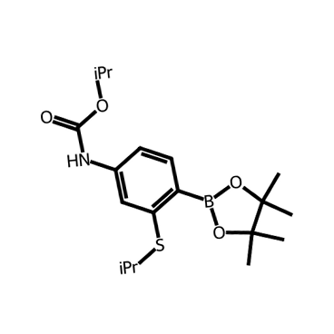 CC(C)OC(=O)Nc1ccc(B2OC(C)(C)C(C)(C)O2)c(SC(C)C)c1